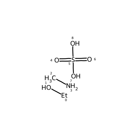 CCO.CN.O=S(=O)(O)O